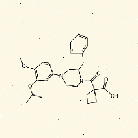 COc1ccc(N2CCN(C(=O)C3(C(=O)O)CCC3)C(Cc3ccccc3)C2)cc1OC(C)C